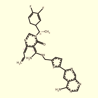 C=C/C=c1/ncn([C@@H](C)C2C=C(F)C(F)=CC2)c(=O)/c1=C(/N)NCc1ccc(-c2cc3c(N)ncnc3cn2)s1